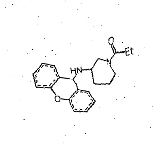 CCC(=O)N1CCCC(NC2c3ccccc3Oc3ccccc32)C1